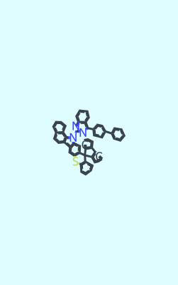 c1ccc(-c2ccc(-c3nc(-n4c5cc6c(cc5c5ccc7ccccc7c54)Sc4ccccc4C64c5ccccc5-c5ccccc54)nc4ccccc34)cc2)cc1